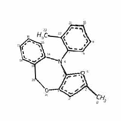 Cc1cc2c(o1)N(c1ccccc1C)c1ccccc1CO2